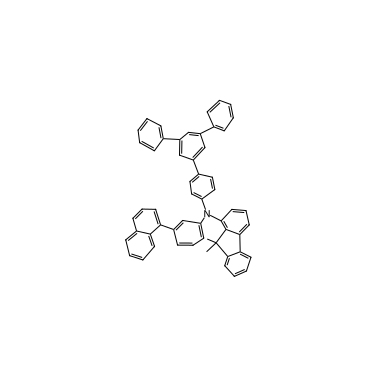 CC1(C)c2ccccc2-c2cccc(N(c3ccc(-c4cc(-c5ccccc5)cc(-c5ccccc5)c4)cc3)c3cccc(-c4cccc5ccccc45)c3)c21